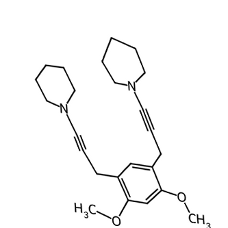 COc1cc(OC)c(CC#CN2CCCCC2)cc1CC#CN1CCCCC1